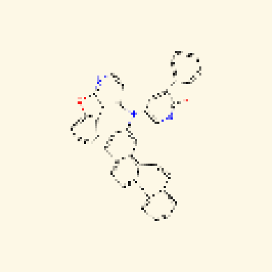 c1ccc2c(c1)ccc1c3cc(N(c4cnc5oc6ccccc6c5c4)c4ccnc5oc6ccccc6c45)ccc3ccc21